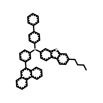 CCCCc1ccc2c(c1)oc1cc(N(c3ccc(-c4ccccc4)cc3)c3cccc(-c4cc5ccccc5c5ccccc45)c3)ccc12